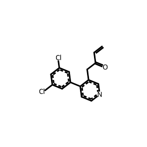 C=CC(=O)Cc1cnccc1-c1cc(Cl)cc(Cl)c1